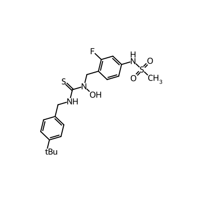 CC(C)(C)c1ccc(CNC(=S)N(O)Cc2ccc(NS(C)(=O)=O)cc2F)cc1